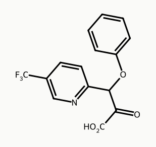 O=C(O)C(=O)C(Oc1ccccc1)c1ccc(C(F)(F)F)cn1